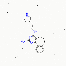 Nc1nc(NCCC2CCNC2)c2c(n1)-c1ccccc1CCC2